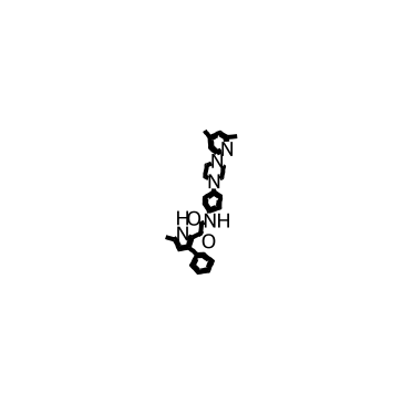 Cc1cc(C)nc(N2CCN(c3ccc(NC(=O)C(=O)c4[nH]c(C)cc4-c4ccccc4)cc3)CC2)c1